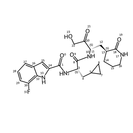 O=C(N[C@@H](CC1CC1)C(=O)N[C@@H](C[C@@H]1CCCNC1=O)C(=O)CO)c1cc2cccc(F)c2[nH]1